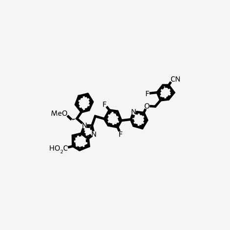 COC[C@H](c1ccccc1)n1c(Cc2cc(F)c(-c3cccc(OCc4ccc(C#N)cc4F)n3)cc2F)nc2ccc(C(=O)O)cc21